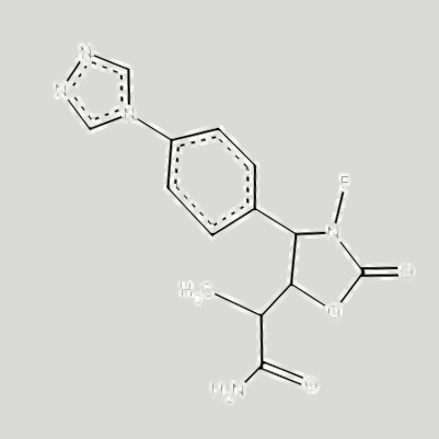 CC(C(N)=O)C1OC(=O)N(F)C1c1ccc(-n2cnnc2)cc1